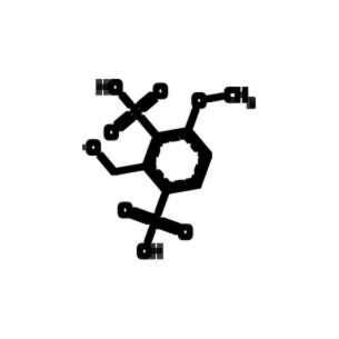 COc1ccc(S(=O)(=O)O)c(C[O])c1S(=O)(=O)O